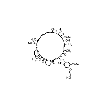 CO[C@H]1CC2CC[C@@H](C)[C@@](O)(O2)C(=O)C(=O)N2CCCC[C@H]2C(=O)O[C@H]([C@@H](C)C[C@@H]2CC[C@@H](OCCO)[C@H](OC)C2)CC(=O)[C@H](C)/C=C(\C)[C@@H](O)[C@@H](OC)C(=O)[C@H](C)C[C@H](C)/C=C/C=C/C=C/1C